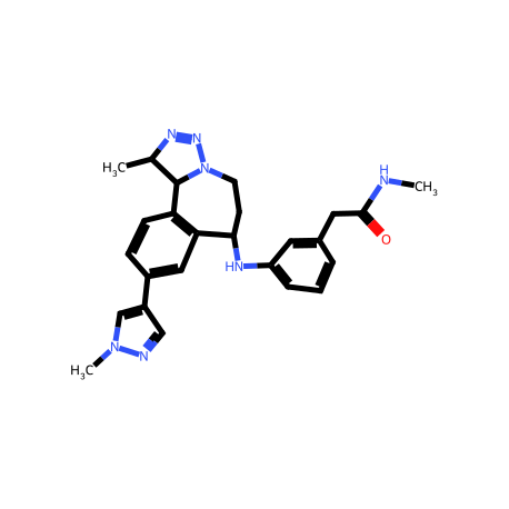 CNC(=O)Cc1cccc(NC2CCN3N=NC(C)C3c3ccc(-c4cnn(C)c4)cc32)c1